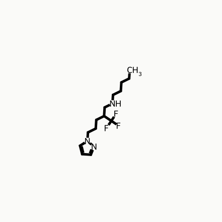 CCCCCNCC(CCCn1cccn1)C(F)(F)F